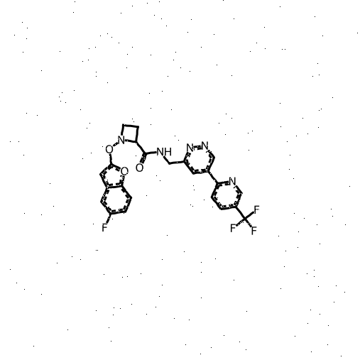 O=C(NCc1cc(-c2ccc(C(F)(F)F)cn2)cnn1)C1CCN1Oc1cc2cc(F)ccc2o1